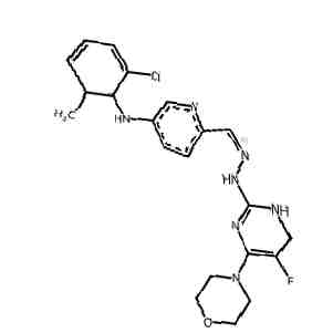 CC1C=CC=C(Cl)C1Nc1ccc(/C=N\NC2=NC(N3CCOCC3)=C(F)CN2)nc1